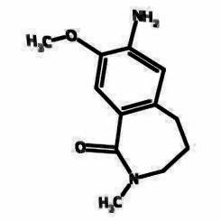 COc1cc2c(cc1N)CCCN(C)C2=O